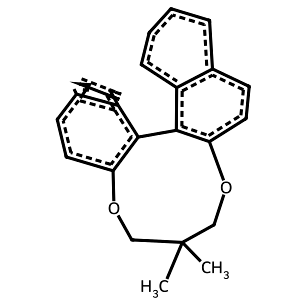 CC1(C)COc2ccc3ccccc3c2-c2c(ccc3ccccc23)OC1